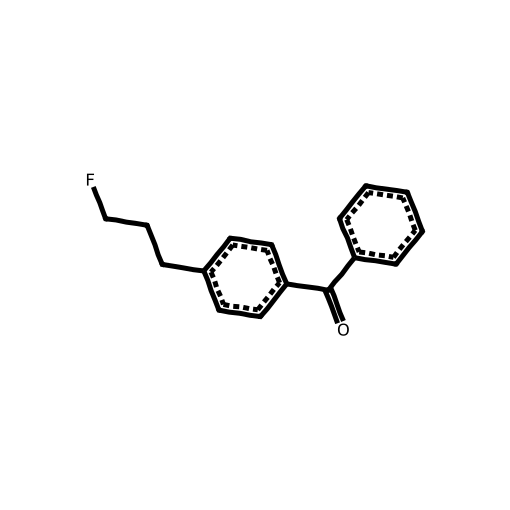 O=C(c1ccccc1)c1ccc(CCCF)cc1